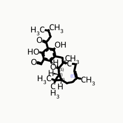 C/C1=C\CC[C@]2(C)Cc3c(O)c(C(=O)CC(C)C)c(O)c(C=O)c3O[C@H]2[C@@H]2[C@@H](CC1)C2(C)C